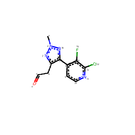 Cn1nc(CC=O)c(-c2ccnc(Cl)c2F)n1